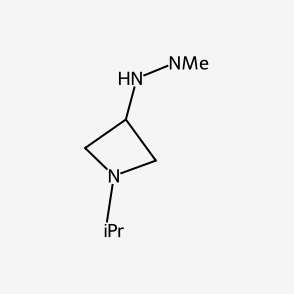 CNNC1CN(C(C)C)C1